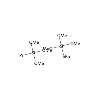 CCCC[Si](OC)(OC)OC.CO[Si](OC)(OC)C(C)C